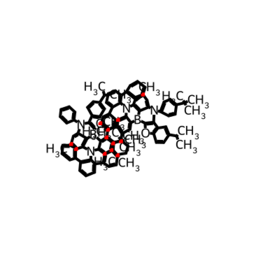 Cc1cc2c3c(c1)N(c1ccccc1)c1c(oc4cc(C(C)C)ccc14)B3c1cc3c(cc1N2c1c(-c2ccccc2)cccc1-c1cccc(C2CC(C)(C)c4cc5c(cc4C2(C)C)B2c4oc6ccc(C(C)C)cc6c4N(c4ccc(C(C)(C)C)cc4)c4cc(C)cc(c42)N5c2c(-c4ccccc4)cccc2-c2ccccc2)c1)C(C)(C)CCC3(C)C